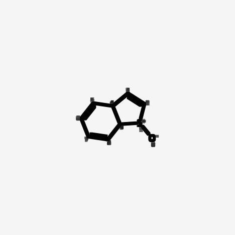 [O-][S+]1C=CC2C=CC=CC21